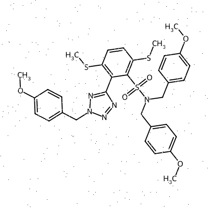 COc1ccc(CN(Cc2ccc(OC)cc2)S(=O)(=O)c2c(SC)ccc(SC)c2-c2nnn(Cc3ccc(OC)cc3)n2)cc1